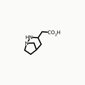 O=C(O)CC1CC2CCN(C2)N1